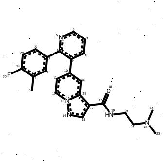 Cc1cc(-c2ncccc2-c2ccn3ncc(C(=O)NCCN(C)C)c3c2)ccc1F